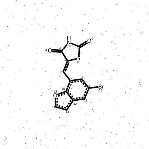 O=C1NC(=O)C(=Cc2cc(Br)cc3ccoc23)S1